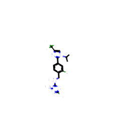 CC(C)n1cc(C(F)(F)F)nc1-c1ccc(CNc2nc(Br)n[nH]2)c(F)c1